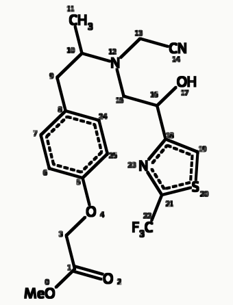 COC(=O)COc1ccc(CC(C)N(CC#N)CC(O)c2csc(C(F)(F)F)n2)cc1